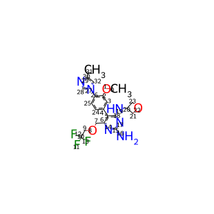 COc1cc(-c2c(COCC(F)(F)F)nc(N)nc2NC2COC2)ccc1-n1cnc(C)c1